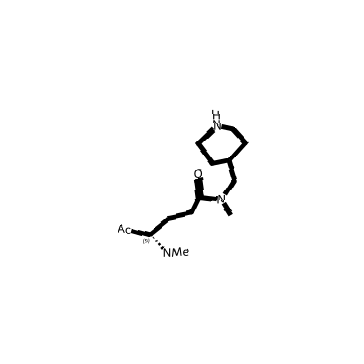 CN[C@@H](CCC(=O)N(C)CC1CCNCC1)C(C)=O